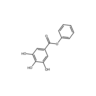 O=C(Oc1ccccc1)c1cc(O)c(O)c(O)c1